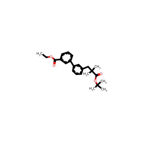 CCOC(=O)c1cccc(-c2cccc(CC(C)(C)C(=O)OC(C)(C)C)c2)c1